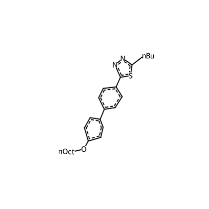 CCCCCCCCOc1ccc(-c2ccc(-c3nnc(CCCC)s3)cc2)cc1